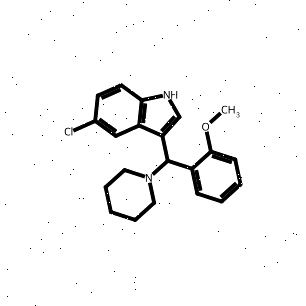 COc1ccccc1C(c1c[nH]c2ccc(Cl)cc12)N1CCCCC1